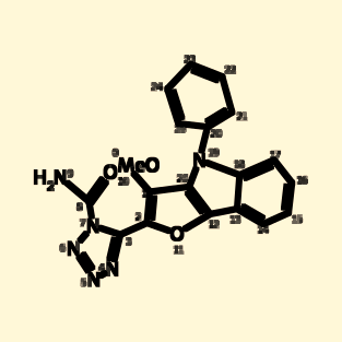 COc1c(-c2nnnn2C(N)=O)oc2c3ccccc3n(-c3ccccc3)c12